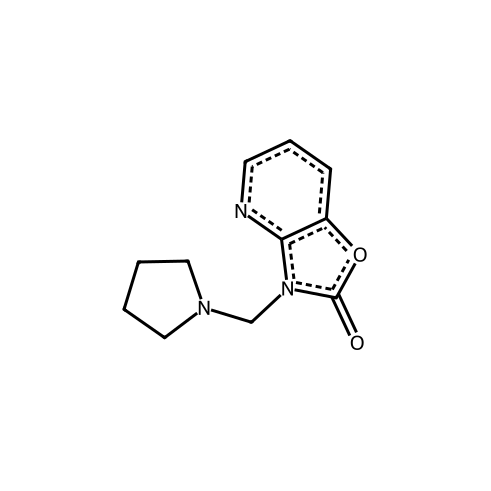 O=c1oc2cccnc2n1CN1CCCC1